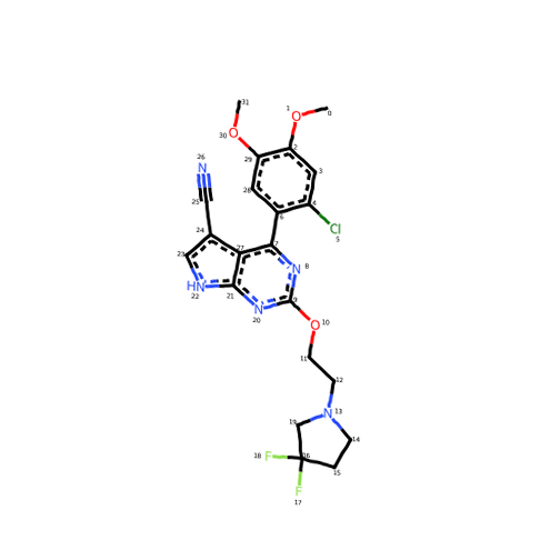 COc1cc(Cl)c(-c2nc(OCCN3CCC(F)(F)C3)nc3[nH]cc(C#N)c23)cc1OC